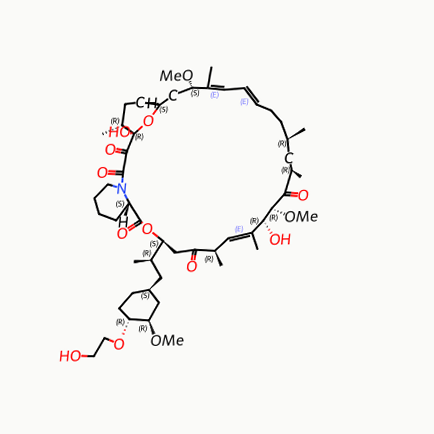 CO[C@H]1C[C@@H]2CC[C@@H](C)[C@@](O)(O2)C(=O)C(=O)N2CCCC[C@H]2C(=O)O[C@H]([C@H](C)C[C@@H]2CC[C@@H](OCCO)[C@H](OC)C2)CC(=O)[C@H](C)/C=C(\C)[C@@H](O)[C@@H](OC)C(=O)[C@H](C)C[C@H](C)CC/C=C/C=C/1C